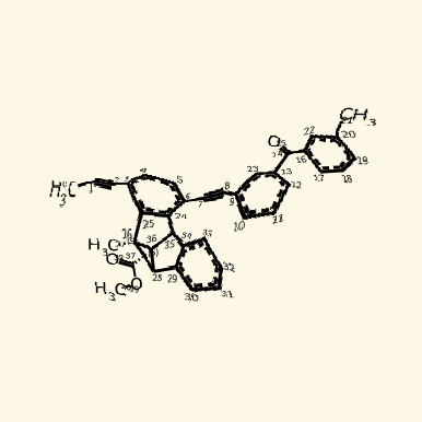 CC#Cc1ccc(C#Cc2cccc(C(=O)c3cccc(C)c3)c2)c2c1[C@]1(C)C3c4ccccc4C2[C@@]31C(=O)OC